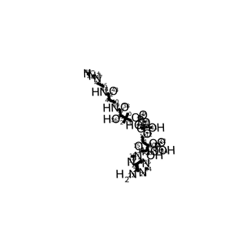 CC(C)(COP(=O)(O)OP(=O)(O)OCC1OC(n2cnc3c(N)ncnc32)C(O)C1OP(=O)(O)O)[C@@H](O)C(=O)NCCC(=O)NCCN=[N+]=[N-]